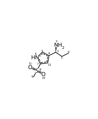 CC[C@H](N)c1c[nH]c(S(C)(=O)=O)c1